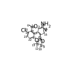 C[C@@H](Oc1cc(B2OC(C)(C)C(C)(C)O2)cnc1N)c1ccccc1Cl